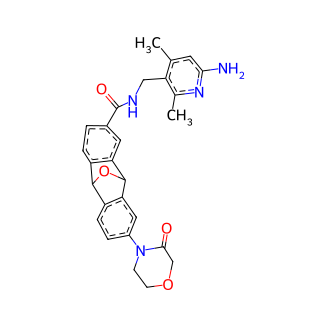 Cc1cc(N)nc(C)c1CNC(=O)c1ccc2c(c1)C1OC2c2ccc(N3CCOCC3=O)cc21